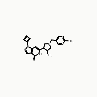 Cc1ncc(CN2CC(C)C(c3nc4c(cnn4C4=CC=C4)c(=O)[nH]3)C2)cn1